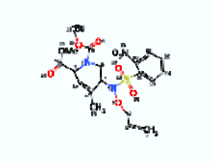 C=CCON(C1CN(C(=O)OC(C)(C)C)C(C(=O)OC)C=C1C)S(=O)(=O)c1ccccc1[N+](=O)[O-]